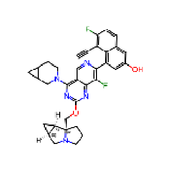 C#Cc1c(F)ccc2cc(O)cc(-c3ncc4c(N5CCC6CC6C5)nc(OC[C@@]56CCCN5C[C@H]5C[C@H]56)nc4c3F)c12